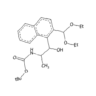 CCOC(OCC)c1ccc2ccccc2c1C(O)C(C)NC(=O)OC(C)(C)C